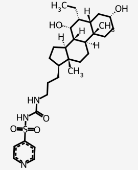 CC[C@H]1[C@@H](O)[C@@H]2[C@H](CC[C@]3(C)[C@@H](CCCNC(=O)NS(=O)(=O)c4ccncc4)CC[C@@H]23)[C@@]2(C)CC[C@@H](O)C[C@@H]12